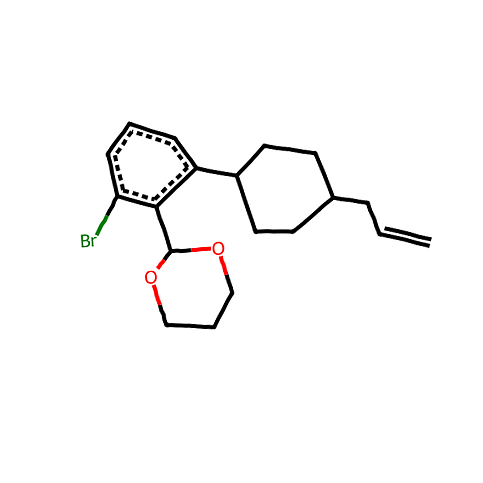 C=CCC1CCC(c2cccc(Br)c2C2OCCCO2)CC1